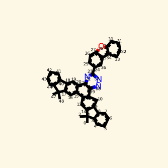 CC1(C)c2ccccc2-c2cc3c(cc21)c1cc2c(cc1c1nc(-c4ccc5oc6ccccc6c5c4)nnc31)-c1ccccc1C2(C)C